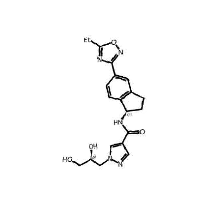 CCc1nc(-c2ccc3c(c2)CC[C@H]3NC(=O)c2cnn(C[C@H](O)CO)c2)no1